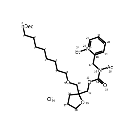 CCCCCCCCCCCCCCCCCCOCC1(COC(=O)N(Cc2cccc[n+]2CC)C(C)=O)CCCO1.[Cl-]